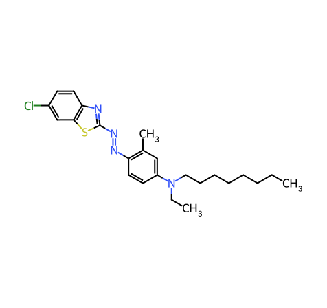 CCCCCCCCN(CC)c1ccc(/N=N/c2nc3ccc(Cl)cc3s2)c(C)c1